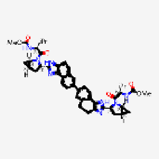 COC(=O)N[C@H](C(=O)N1[C@@H]2C[C@@H]2C[C@H]1c1nc2c([nH]1)-c1ccc(-c3ccc4c(ccc5[nH]c([C@@H]6C[C@H]7C[C@H]7N6C(=O)[C@@H](NC(=O)OC)C(C)C)nc54)c3)cc1CC2)C(C)C